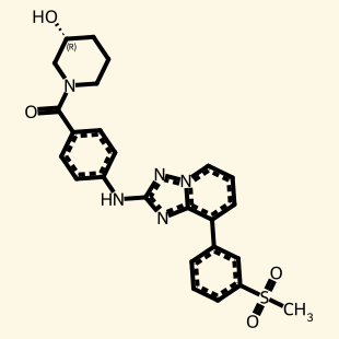 CS(=O)(=O)c1cccc(-c2cccn3nc(Nc4ccc(C(=O)N5CCC[C@@H](O)C5)cc4)nc23)c1